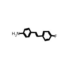 Nc1ccc(/C=C/c2ccc(F)cc2)cc1